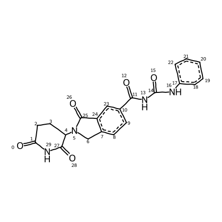 O=C1CCC(N2Cc3ccc(C(=O)NC(=O)Nc4ccccc4)cc3C2=O)C(=O)N1